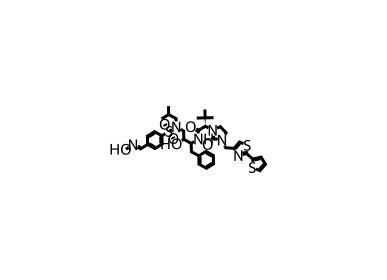 CC(C)CN(CC(O)C(Cc1ccccc1)NC(=O)[C@@H](N1CCN(Cc2csc(-c3cccs3)n2)C1=O)C(C)(C)C)S(=O)(=O)c1ccc(C=NO)cc1